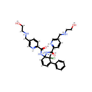 CC1(Cl)C(c2ccccc2)=CC=CC1(NC(=O)c1ccc(CNCCO)cn1)NC(=O)c1ccc(CNCCO)cn1